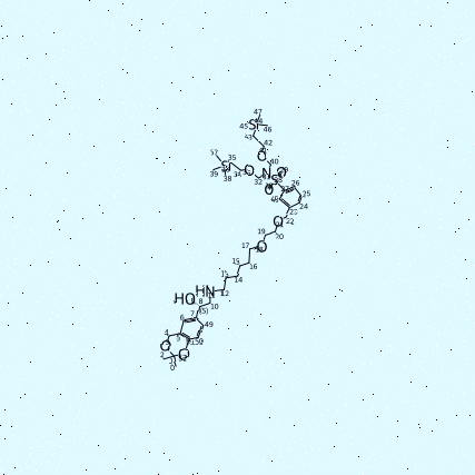 CC1(C)OCc2cc([C@H](O)CNCCCCCCOCCOCc3cccc(S(=O)(=O)N(COCC[Si](C)(C)C)COCC[Si](C)(C)C)c3)ccc2O1